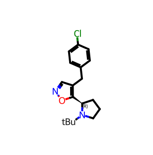 CC(C)(C)N1CCC[C@@H]1c1oncc1Cc1ccc(Cl)cc1